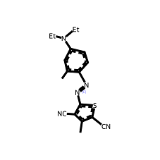 CCN(CC)c1ccc(/N=N/c2sc(C#N)c(C)c2C#N)c(C)c1